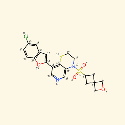 O=S(=O)(C1CC2(COC2)C1)N1CCSc2c(-c3cc4cc(Cl)ccc4o3)cncc21